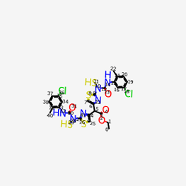 CCOC(=O)C(c1csc(N(S)C(=O)Nc2cc(Cl)ccc2C)n1)c1csc(N(S)C(=O)Nc2cc(Cl)ccc2C)n1